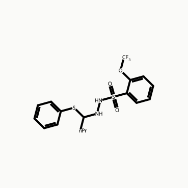 CCCC(NNS(=O)(=O)c1ccccc1OC(F)(F)F)Sc1ccccc1